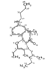 CC=C(CC)Oc1c(OCC(C)CCC)c(=O)n(C)c2cc(NCCCC)ccc12